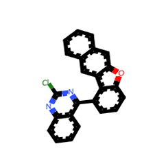 Clc1nc(-c2cccc3oc4cc5ccccc5cc4c23)c2ccccc2n1